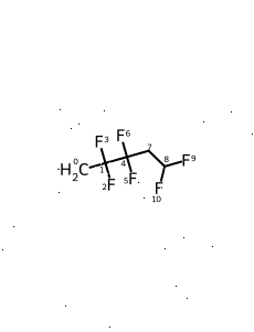 [CH2]C(F)(F)C(F)(F)CC(F)F